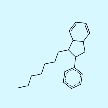 CCCCCCCC1C(c2ccccc2)[C]C2C=CC=CC21